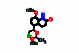 CCCCOc1ccc([C@H](CBr)O[C@@H](C)OCCCC)c2ccc(=O)[nH]c12